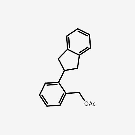 CC(=O)OCc1ccccc1C1Cc2ccccc2C1